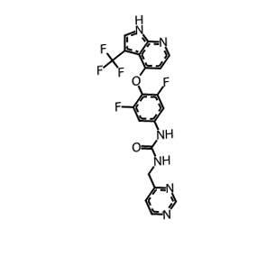 O=C(NCc1ccncn1)Nc1cc(F)c(Oc2ccnc3[nH]cc(C(F)(F)F)c23)c(F)c1